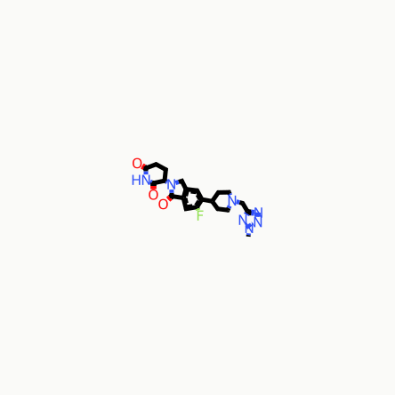 Cn1nnc(CN2CCC(c3cc4c(cc3F)C(=O)N(C3CCC(=O)NC3=O)C4)CC2)n1